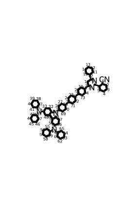 N#Cc1ccccc1-c1nc(-c2ccccc2)cc(-c2ccc(-c3ccc(-c4ccc(-n5c6ccc(N(c7ccccc7)c7ccccc7)cc6c6cc(N(c7ccccc7)c7ccccc7)ccc65)cc4)cc3)cc2)n1